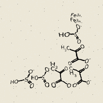 CC(=O)C(=O)[O-].CC(=O)C(=O)[O-].CC(=O)C(=O)[O-].O=S([O-])O.O=S([O-])O.O=S([O-])O.[Fe+3].[Fe+3]